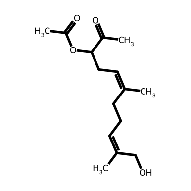 CC(=O)OC(CC=C(C)CCC=C(C)CO)C(C)=O